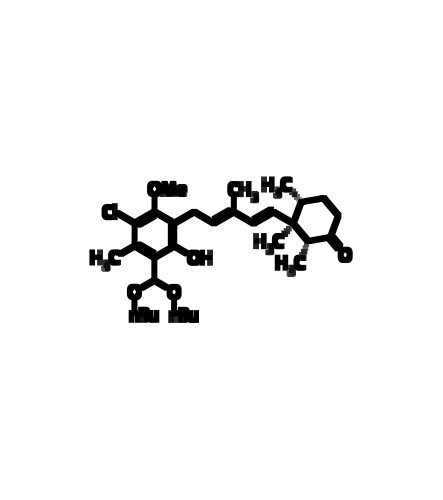 CCCCOC(OCCCC)c1c(C)c(Cl)c(OC)c(C/C=C(C)/C=C/[C@@]2(C)[C@H](C)CCC(=O)[C@@H]2C)c1O